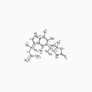 [2H]c1c(C([2H])([2H])[C@]2([2H])NC(=O)OC2([2H])[2H])c([2H])c2c(C([2H])([2H])CN(C)C)c[nH]c2c1[2H]